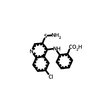 NSc1cnc2ccc(Cl)cc2c1Nc1ccccc1C(=O)O